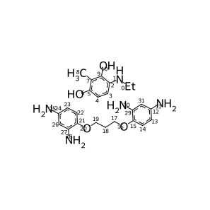 CCNc1ccc(O)c(C)c1O.Nc1ccc(OCCCOc2ccc(N)cc2N)c(N)c1